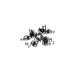 CS(=O)(=O)c1cc2c3nc4nc(nc5[nH]c(nc6nc(nc([nH]3)c2cc1S(=O)(=O)NCCS(=O)(=O)O)-c1cc(S(N)(=O)=O)ccc1-6)c1cc(S(=O)(=O)O)c(S(N)(=O)=O)cc51)-c1cc(S(=O)(=O)NCCS(=O)(=O)O)c(S(N)(=O)=O)cc1-4